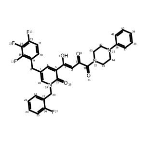 O=C(C=C(O)c1cc(Cc2ccc(F)c(F)c2F)cn(Cc2ccccc2F)c1=O)C(=O)N1CCN(c2ccccc2)CC1